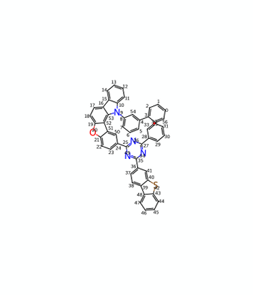 c1ccc(-c2cccc(-n3c4ccccc4c4ccc5oc6ccc(-c7nc(-c8ccccc8)nc(-c8ccc9c(c8)sc8ccccc89)n7)cc6c5c43)c2)cc1